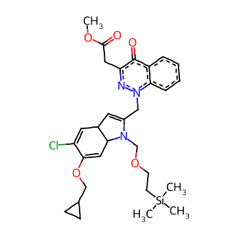 COC(=O)Cc1nn(CC2=CC3C=C(Cl)C(OCC4CC4)=CC3N2COCC[Si](C)(C)C)c2ccccc2c1=O